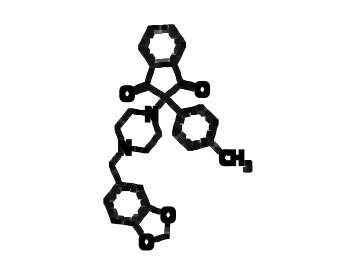 Cc1ccc(C2(N3CCN(Cc4ccc5c(c4)OCO5)CC3)C(=O)c3ccccc3C2=O)cc1